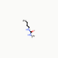 CCCNC(=O)NCCCC(C)C